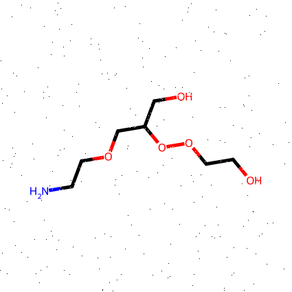 NCCOCC(CO)OOCCO